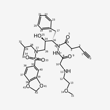 C#CCCC(=O)N(NC(=O)CNCCOC)[C@@H](Cc1ccccc1)[C@H](O)CN(CC(C)C)S(=O)(=O)c1ccc2c(c1)OCO2